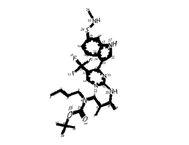 CCCCN(CC(C)C(C)Nc1ncc(C(F)(F)F)c(-c2c[nH]c3cc(SNC)ccc23)n1)C(=O)OC(C)(C)C